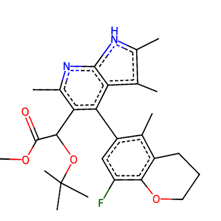 COC(=O)C(OC(C)(C)C)c1c(C)nc2[nH]c(C)c(C)c2c1-c1cc(F)c2c(c1C)CCCO2